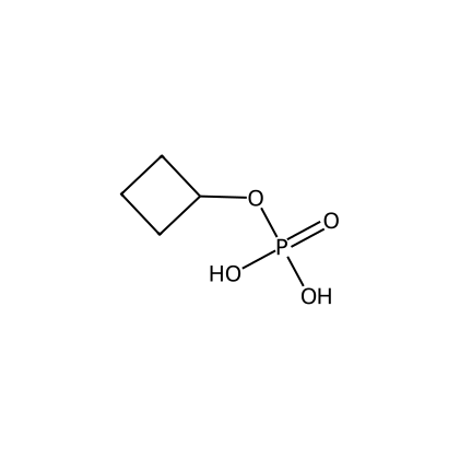 O=P(O)(O)OC1CCC1